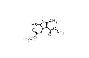 COC(=O)CC1C(C(=O)OC)=C(C)NC1S